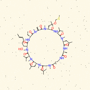 C=C1C(=O)N(C)[C@@H](CC(C)(C)OCSC)C(=O)N[C@@H](C(C)C)C(=O)N(C)[C@@H](CC(C)C)C(=O)N[C@@H](C)C(=O)N[C@H](C)CC(=O)N(C)[C@H](CC(C)C)C(=O)N(C)[C@@H](CC(C)C)C(=O)N(C)[C@@H](C(C)C)C(=O)N(C)[C@@H]([C@H](O)[C@H](C)C/C=C/C)C(=O)N[C@@H](CC)C(=O)N1C